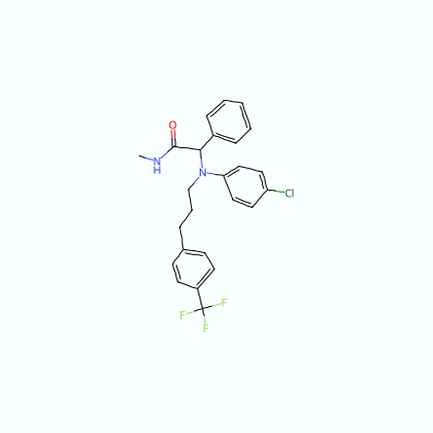 CNC(=O)C(c1ccccc1)N(CCCc1ccc(C(F)(F)F)cc1)c1ccc(Cl)cc1